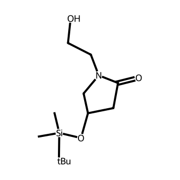 CC(C)(C)[Si](C)(C)OC1CC(=O)N(CCO)C1